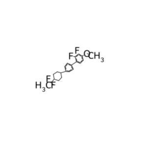 COc1ccc(-c2ccc(C3CCC(C(C)(F)F)CC3)cc2)c(F)c1F